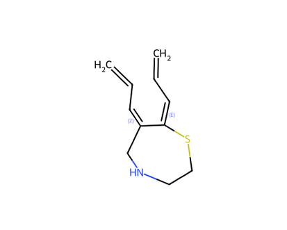 C=C/C=C1/CNCCS/C1=C/C=C